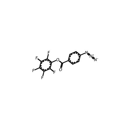 [N-]=[N+]=Nc1ccc(C(=O)Oc2c(F)c(F)c(F)c(F)c2F)cc1